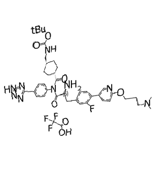 CN(C)CCCOc1ccc(-c2ccc(C[C@H](N)C(=O)N(c3ccc(-c4nn[nH]n4)cc3)C(=O)[C@H]3CC[C@H](CNC(=O)OC(C)(C)C)CC3)cc2F)cn1.O=C(O)C(F)(F)F